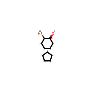 C1CCCC1.O=C1CCCCC1S